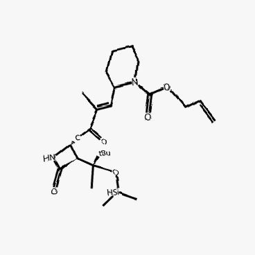 C=CCOC(=O)N1CCCCC1/C=C(\C)C(=O)C[C@H]1NC(=O)[C@@H]1[C@@](C)(O[SiH](C)C)C(C)(C)C